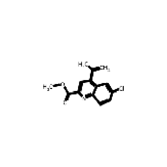 C=C(C)c1cc(C(=O)OC)nc2ccc(Cl)cc12